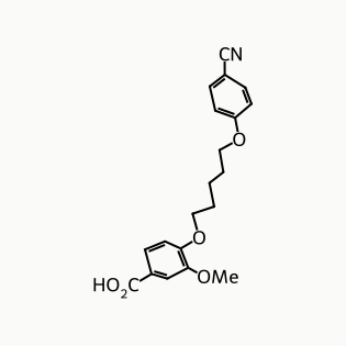 COc1cc(C(=O)O)ccc1OCCCCCOc1ccc(C#N)cc1